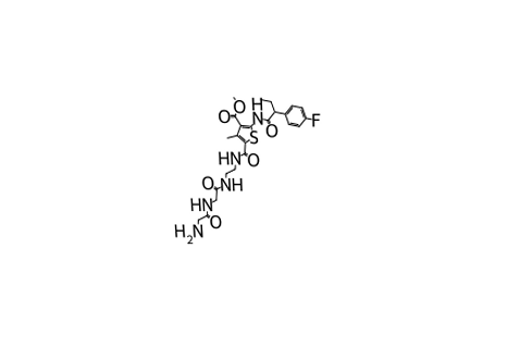 CCC(C(=O)Nc1sc(C(=O)NCCNC(=O)CNC(=O)CN)c(C)c1C(=O)OC)c1ccc(F)cc1